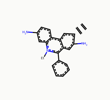 C=C.C=C.CC[n+]1c(-c2ccccc2)c2cc(N)ccc2c2ccc(N)cc21